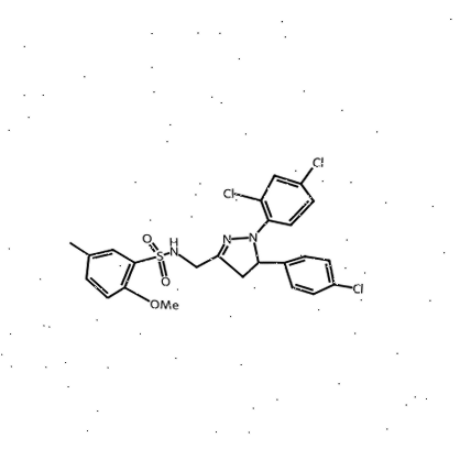 COc1ccc(C)cc1S(=O)(=O)NCC1=NN(c2ccc(Cl)cc2Cl)C(c2ccc(Cl)cc2)C1